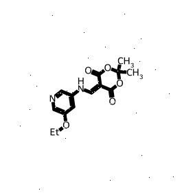 CCOc1cncc(NC=C2C(=O)OC(C)(C)OC2=O)c1